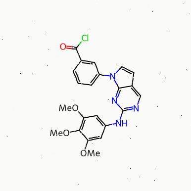 COc1cc(Nc2ncc3ccn(-c4cccc(C(=O)Cl)c4)c3n2)cc(OC)c1OC